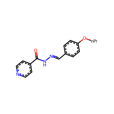 CCCOc1ccc(C=NNC(=O)c2ccncc2)cc1